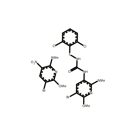 CNc1nc(OC)c(Br)cc1NC(=O)NSc1c(Cl)cccc1Cl.CNc1nc(OC)c(Br)cc1[N+](=O)[O-]